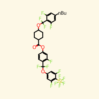 CCCCc1cc(F)c(C(F)(F)OC2CCC(C(=O)Oc3ccc(C(F)(F)Oc4cc(F)c(S(F)(F)(F)(F)F)c(F)c4)c(F)c3)CC2)c(F)c1